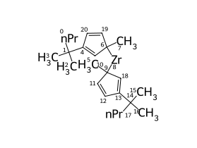 CCCC(C)(C)C1=C[C](C)([Zr][C]2(C)C=CC(C(C)(C)CCC)=C2)C=C1